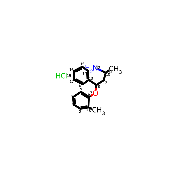 Cc1ccccc1OC(CC(C)N)c1ccccc1.Cl